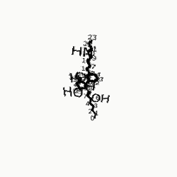 CCCCC[C@H](O)/C=C/[C@@H]1[C@H]2c3cccc(CCCCNCCC)c3O[C@H]2C[C@H]1O